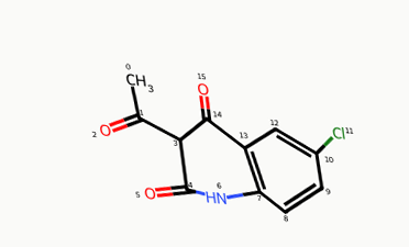 CC(=O)C1C(=O)Nc2ccc(Cl)cc2C1=O